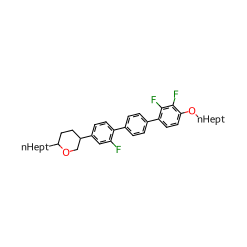 CCCCCCCOc1ccc(-c2ccc(-c3ccc(C4CCC(CCCCCCC)OC4)cc3F)cc2)c(F)c1F